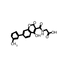 Cc1cccc(-c2ccc3c(O)c(C(=O)NCC(=O)O)c(=O)oc3c2)c1